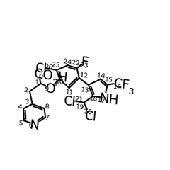 O=C(O)C(Cc1ccncc1)Oc1cc(-c2cc(C(F)(F)F)[nH]c2C(Cl)Cl)c(F)cc1Cl